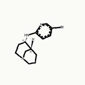 Brc1ccc(N[C@H]2CCN3CCC[C@@H]2C3)nc1